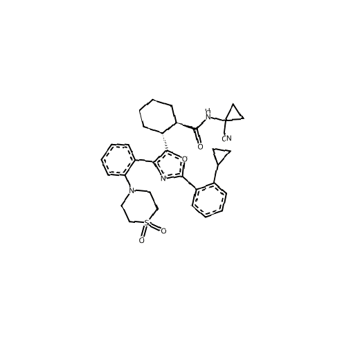 N#CC1(NC(=O)[C@@H]2CCCC[C@H]2c2oc(-c3ccccc3C3CC3)nc2-c2ccccc2N2CCS(=O)(=O)CC2)CC1